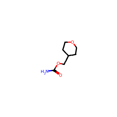 NC(=O)OCC1CCOCC1